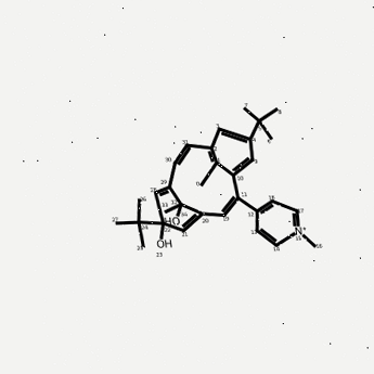 Cc1c2cc(C(C)(C)C)cc1/C(c1cc[n+](C)cc1)=C\C1=CC(O)(C(C)(C)C)C=C(/C=C\2)C1(C)O